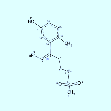 CCC/C=C(/CCNS(C)(=O)=O)c1cc(O)ccc1C